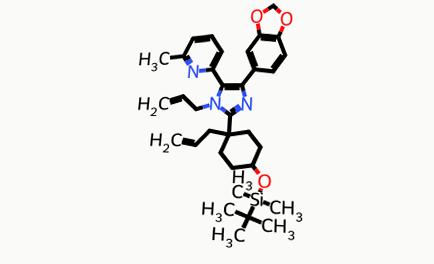 C=CCn1c(C2(CC=C)CCC(O[Si](C)(C)C(C)(C)C)CC2)nc(-c2ccc3c(c2)OCO3)c1-c1cccc(C)n1